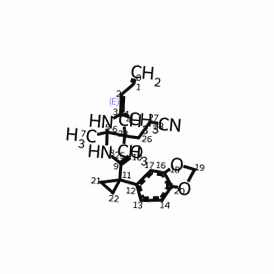 C=C/C=C(\C)NC(C)(NC(=O)C1(c2ccc3c(c2)OCO3)CC1)C(C)(C)CCC#N